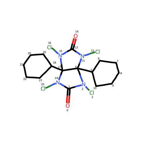 O=C1N(Cl)C2(C3CCCCC3)N(Cl)C(=O)N(Cl)C2(C2CCCCC2)N1Cl